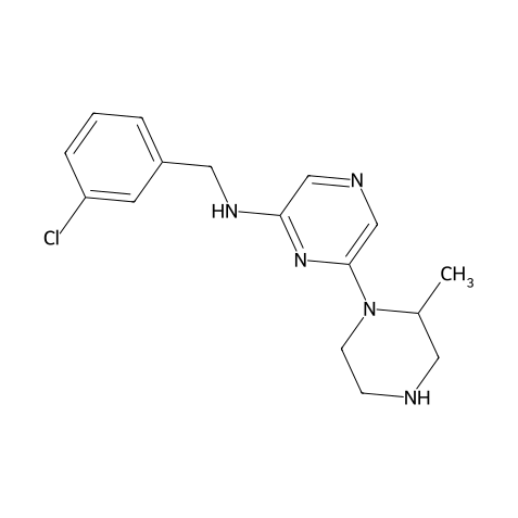 CC1CNCCN1c1cncc(NCc2cccc(Cl)c2)n1